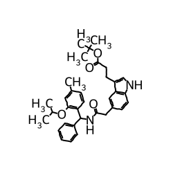 Cc1ccc(C(NC(=O)Cc2ccc3[nH]cc(CCC(=O)OC(C)(C)C)c3c2)c2ccccc2)c(OC(C)C)c1